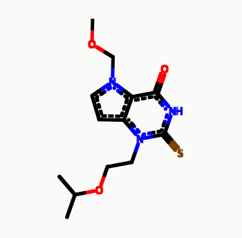 COCn1ccc2c1c(=O)[nH]c(=S)n2CCOC(C)C